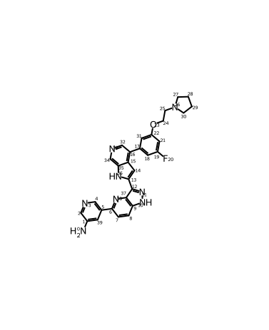 Nc1cncc(-c2ccc3[nH]nc(-c4cc5c(-c6cc(F)cc(OCCN7CCCC7)c6)cncc5[nH]4)c3n2)c1